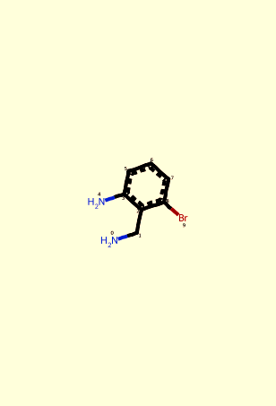 NCc1c(N)cccc1Br